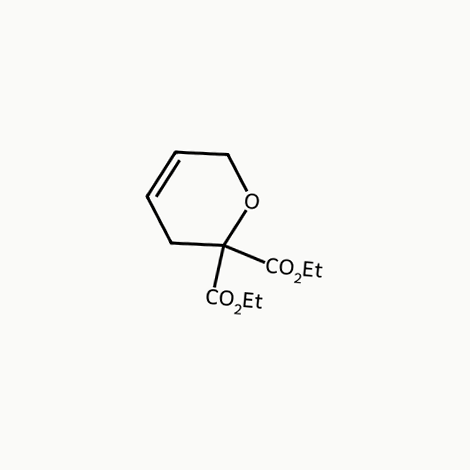 CCOC(=O)C1(C(=O)OCC)CC=CCO1